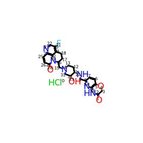 Cl.O=C1COc2ccc(CN[C@H]3CCN(CC4CCc5c(F)cnc6ccc(=O)n4c56)C[C@H]3O)nc2N1